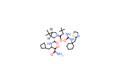 CC(C)(C)[C@H](NC(=O)NC1(CC2=NCCS2)CCCCC1)C(=O)N1C[C@H]2[C@@H]([C@H]1C(=O)NC(CC1CCC1)C(=O)C(N)=O)C2(C)C